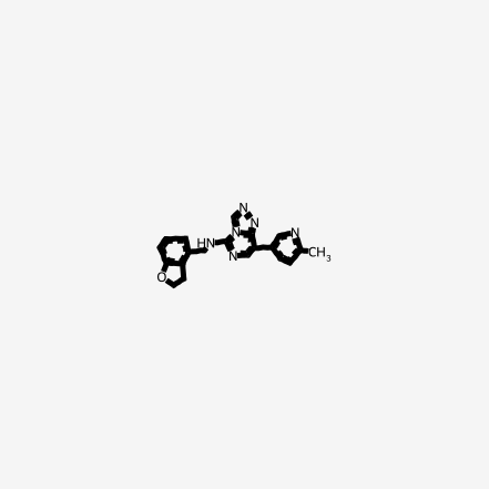 Cc1ccc(-c2cnc(NCc3cccc4c3CCO4)n3cnnc23)cn1